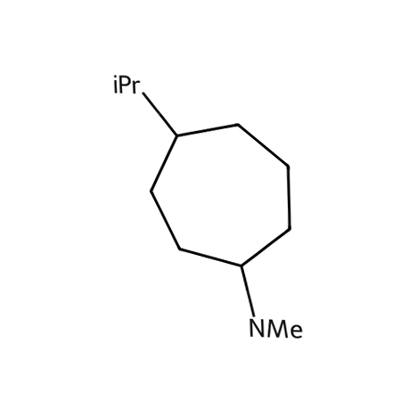 CNC1CCCC(C(C)C)CC1